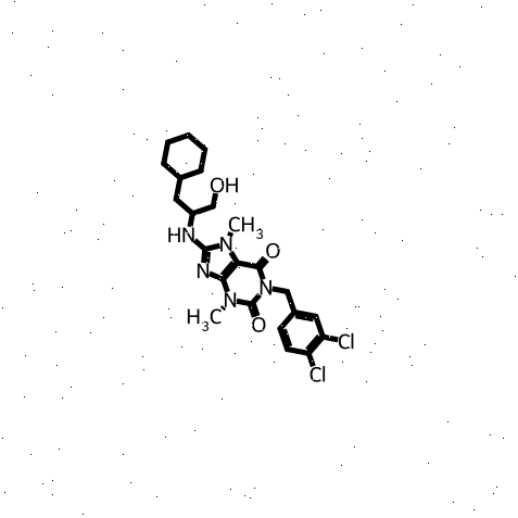 Cn1c(NC(CO)CC2CCCCC2)nc2c1c(=O)n(Cc1ccc(Cl)c(Cl)c1)c(=O)n2C